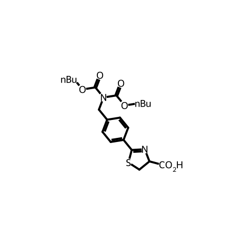 CCCCOC(=O)N(Cc1ccc(C2=NC(C(=O)O)CS2)cc1)C(=O)OCCCC